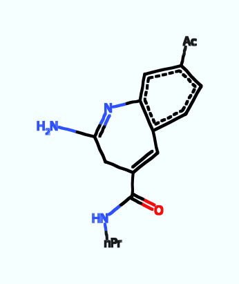 CCCNC(=O)C1=Cc2ccc(C(C)=O)cc2N=C(N)C1